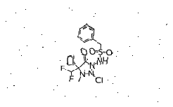 CN1N(Cl)N(NS(=O)(=O)Cc2ccccc2)C(=O)C1(Cl)C(F)F